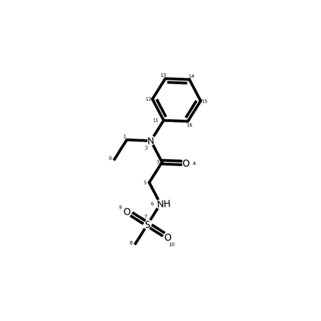 CCN(C(=O)CNS(C)(=O)=O)c1ccccc1